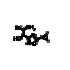 CCC(N)C(O)c1noc(C2CC2)n1